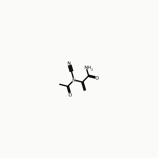 C=C(C(N)=O)N(C#N)C(C)=O